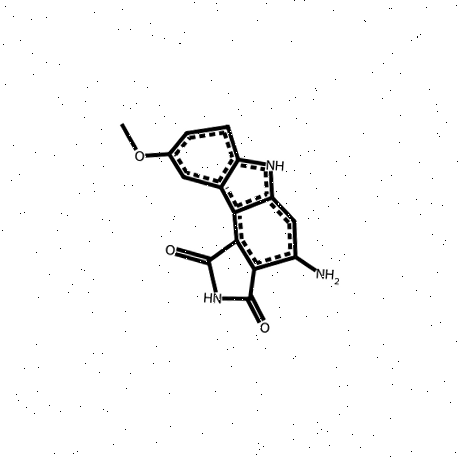 COc1ccc2[nH]c3cc(N)c4c(c3c2c1)C(=O)NC4=O